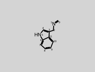 C=NCc1c[nH]c2ccccc12